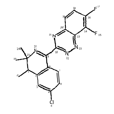 CC1c2cc(Cl)ccc2C(c2nnc3c(F)c(F)ccc3n2)=NC1(C)C